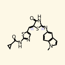 Cn1ccc2cc(/N=C3/NC(=O)/C(=C/c4cnc(NC(=O)C5CC5)s4)S3)ccc21